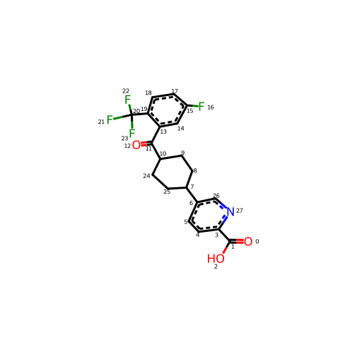 O=C(O)c1ccc(C2CCC(C(=O)c3cc(F)ccc3C(F)(F)F)CC2)cn1